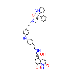 NC(=O)C(c1ccccc1)(c1ccccc1)[C@@H]1CCN(CCCc2ccc(Nc3ccc(CCNC[C@@H](O)c4ccc(O)c5[nH]c(=O)ccc45)cc3)cc2)C1